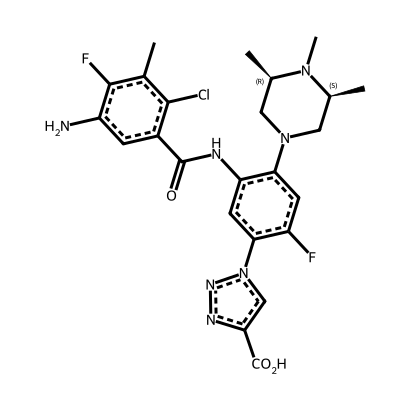 Cc1c(F)c(N)cc(C(=O)Nc2cc(-n3cc(C(=O)O)nn3)c(F)cc2N2C[C@@H](C)N(C)[C@@H](C)C2)c1Cl